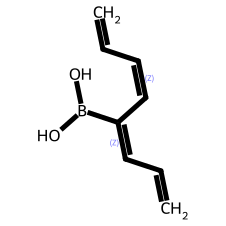 C=C/C=C\C(=C/C=C)B(O)O